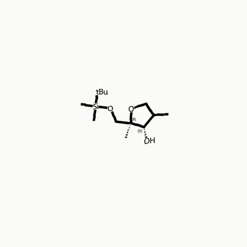 CC1CO[C@](C)(CO[Si](C)(C)C(C)(C)C)[C@H]1O